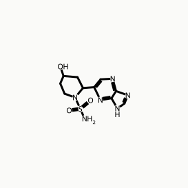 NS(=O)(=O)N1CCC(O)CC1c1cnc2nc[nH]c2n1